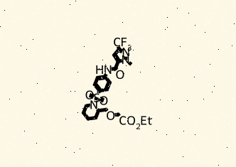 CCOC(=O)COCC1CCCCN1S(=O)(=O)c1ccc(NC(=O)c2cc(C(F)(F)F)nn2C)cc1